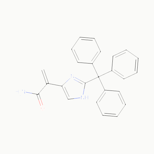 C=C(C(N)=O)c1c[nH]c(C(c2ccccc2)(c2ccccc2)c2ccccc2)n1